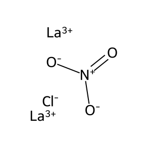 O=[N+]([O-])[O-].[Cl-].[La+3].[La+3]